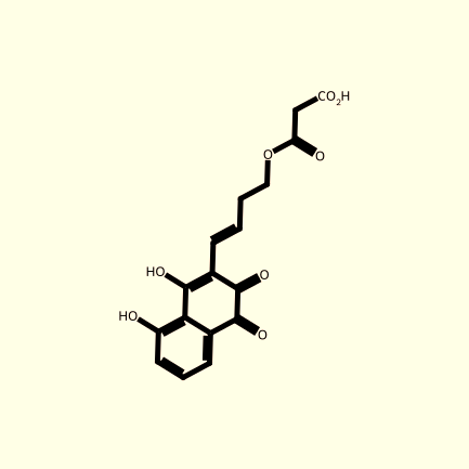 O=C(O)CC(=O)OCC/C=C/C1=C(O)c2c(O)cccc2C(=O)C1=O